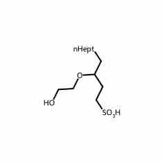 CCCCCCCCC(CCS(=O)(=O)O)OCCO